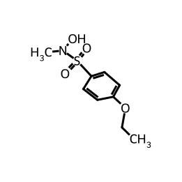 CCOc1ccc(S(=O)(=O)N(C)O)cc1